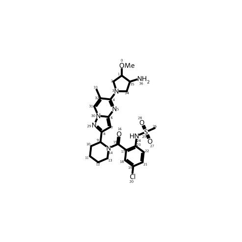 COC1CN(c2nc3cc(C4CCCCN4C(=O)c4cc(Cl)ccc4NS(C)(=O)=O)nn3cc2C)CC1N